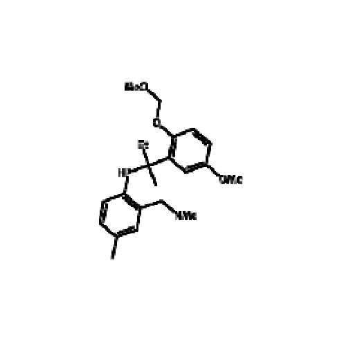 CCC(C)(Pc1ccc(C)cc1CNC)c1cc(OC)ccc1OCOC